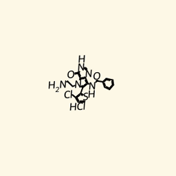 Cl.NCCn1c(-c2sccc2Cl)c(NC(=O)c2ccccc2)c2nc[nH]c(=O)c21